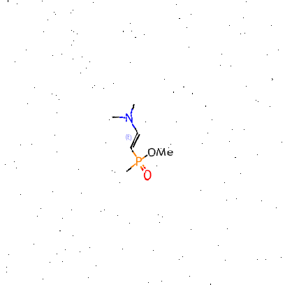 COP(C)(=O)/C=C/N(C)C